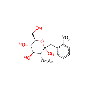 CC(=O)N[C@@H]1[C@@H](O)[C@H](O)[C@@H](CO)OC1(O)Cc1ccccc1[N+](=O)[O-]